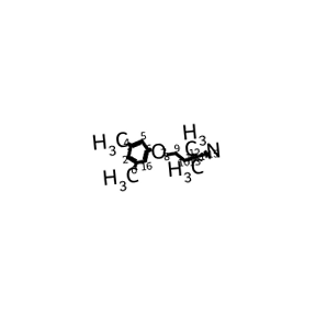 Cc1cc(C)cc(OCCCC(C)(C)C#N)c1